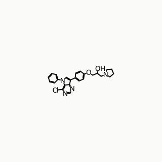 OC(COc1ccc(-c2cn(-c3ccccc3)c3c(Cl)ncnc23)cc1)CN1CCCC1